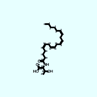 CCCCC/C=C\C/C=C\C/C=C\C/C=C\CCCC(=O)NC(C(=O)O)C(C)O